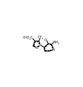 CCOC(=O)c1cnn(-c2ccnc(N)c2Cl)c1C(F)(F)F